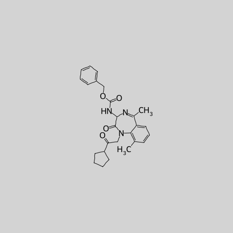 CC1=NC(NC(=O)OCc2ccccc2)C(=O)N(CC(=O)C2CCCC2)c2c(C)cccc21